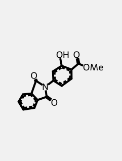 COC(=O)c1ccc(N2C(=O)c3ccccc3C2=O)cc1O